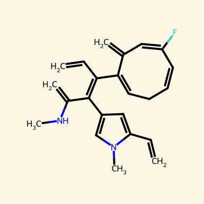 C=CC(/C1=C/C/C=C\C(F)=C/C1=C)=C(\C(=C)NC)c1cc(C=C)n(C)c1